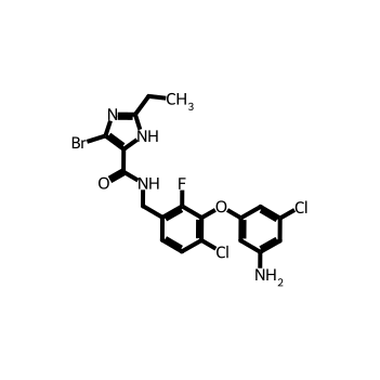 CCc1nc(Br)c(C(=O)NCc2ccc(Cl)c(Oc3cc(N)cc(Cl)c3)c2F)[nH]1